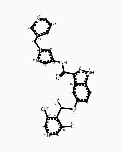 C[C@@H](Oc1ccc2[nH]nc(C(=O)Nc3cnn(Cc4cccnc4)c3)c2c1)c1c(Cl)cncc1Cl